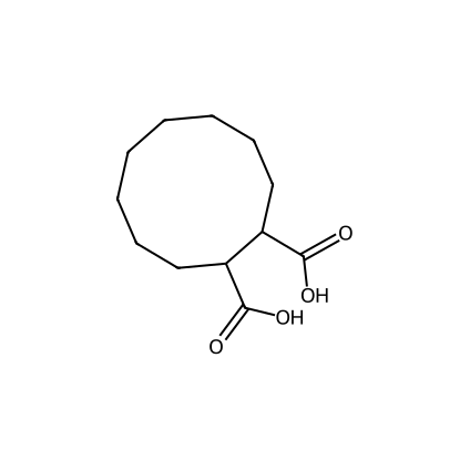 O=C(O)C1CCCCCCCCC1C(=O)O